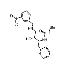 CCN(CC)c1cccc(CNC[C@@H](O)[C@H](Cc2ccccc2)NC(=O)OC(C)(C)C)c1